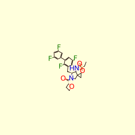 CCS(=O)(=O)N[C@@H]1[C@H](Cc2cc(F)cc(-c3cc(F)cc(F)c3)c2F)N(C(=O)[C@H]2CCO2)CC12CC2